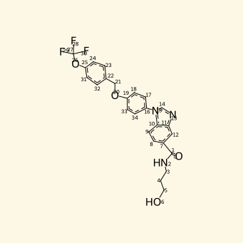 O=C(NCCCO)c1ccc2c(c1)ncn2-c1ccc(OCc2ccc(OC(F)(F)F)cc2)cc1